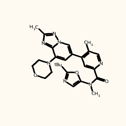 Cc1nc2c(N3CCOCC3)cc(-c3cc(C(=O)N(C)c4cnc(C(C)(C)C)o4)ncc3C)cn2n1